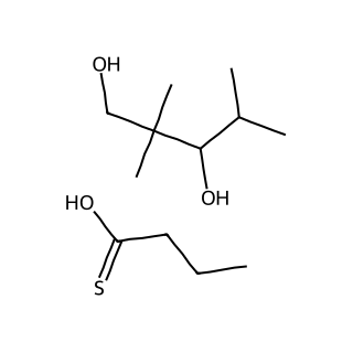 CC(C)C(O)C(C)(C)CO.CCCC(O)=S